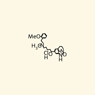 COc1ccccc1CCN(C)CCCCC(=O)c1cc2c3c(c1)[nH]c(=O)n3CCC2.Cl